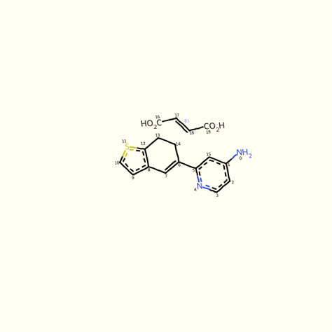 Nc1ccnc(C2=Cc3ccsc3CC2)c1.O=C(O)/C=C/C(=O)O